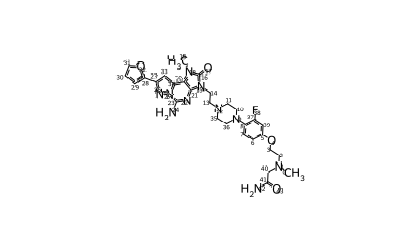 CN(CCOc1ccc(N2CCN(CCn3c(=O)n(C)c4c3nc(N)n3nc(-c5ccco5)cc43)CC2)c(F)c1)CC(N)=O